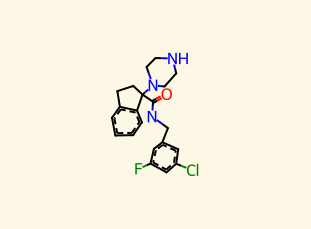 CN(Cc1cc(F)cc(Cl)c1)C(=O)C1(N2CCNCC2)CCc2ccccc21